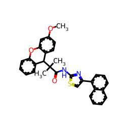 COc1ccc2c(c1)Oc1ccccc1C2C(C)(C)C(=O)Nc1nc(-c2cccc3ccccc23)cs1